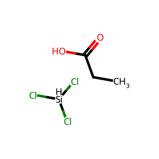 CCC(=O)O.Cl[SiH](Cl)Cl